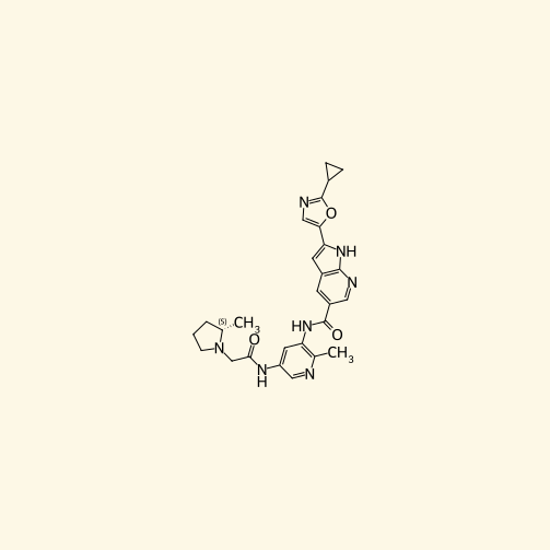 Cc1ncc(NC(=O)CN2CCC[C@@H]2C)cc1NC(=O)c1cnc2[nH]c(-c3cnc(C4CC4)o3)cc2c1